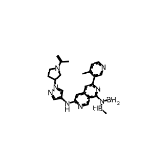 BN(BC)c1nc(-c2cnccc2C)cc2cc(Nc3cnn(C4CCN(C(=C)C)C4)c3)ncc12